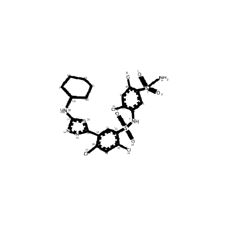 NS(=O)(=O)c1cc(NS(=O)(=O)c2cc(-c3nnc(NC4CCCCC4)s3)c(Cl)cc2Cl)c(Cl)cc1Cl